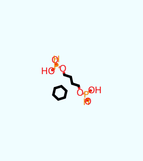 C1CCCCC1.O=[PH](O)OCCCCO[PH](=O)O